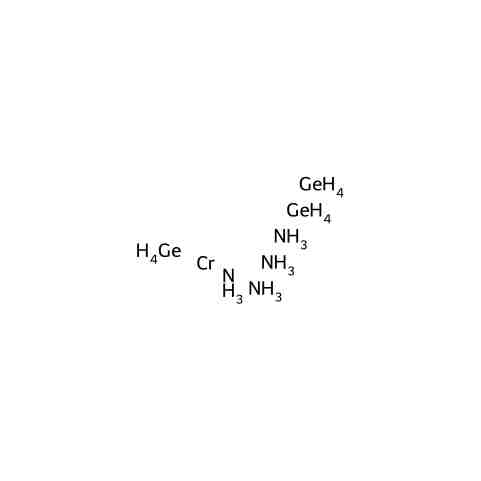 N.N.N.N.[Cr].[GeH4].[GeH4].[GeH4]